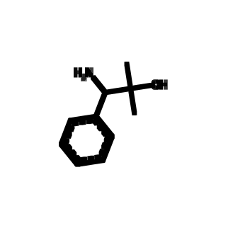 CC(C)(O)C(N)c1ccccc1